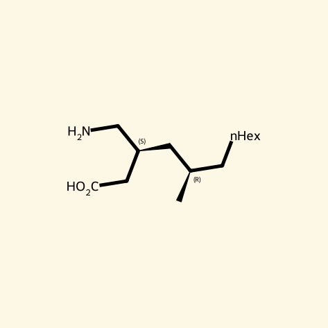 CCCCCCC[C@@H](C)C[C@H](CN)CC(=O)O